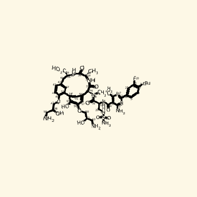 Cc1nc(-c2ccc(C(C)(C)C)c(F)c2)nc(N)c1C(=O)NC(CNS(N)(=O)=O)C(=O)N(C)[C@@H]1C(=O)N[C@@H](C)C(=O)N[C@H](C(=O)O)Cc2ccc(OCC(O)CN)c(c2)-c2cc1cc(OCC(O)CN)c2O